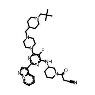 CC(C)(C)CN1CCC(CN2CCN(c3nc(-c4cnn5ccccc45)nc(N[C@@H]4CCCN(C(=O)CC#N)C4)c3F)CC2)CC1